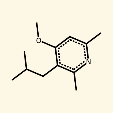 COc1cc(C)nc(C)c1CC(C)C